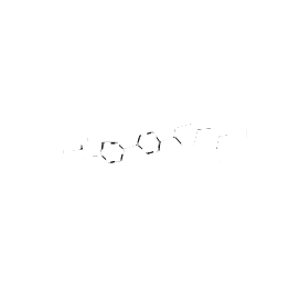 CCC(C)CC1CC=C(c2ccc(-c3ccc(OC(C)=O)cc3)cc2)CC1